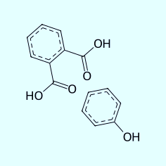 O=C(O)c1ccccc1C(=O)O.Oc1ccccc1